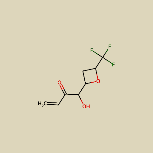 C=CC(=O)C(O)C1CC(C(F)(F)F)O1